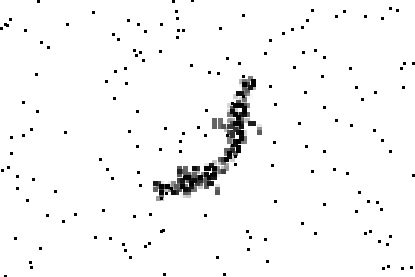 CC(C)(c1ccc(OCCCOc2ccc(C(C)(C)c3ccc(OCC4CO4)cc3)cc2)cc1)c1ccc(OCC2CO2)cc1